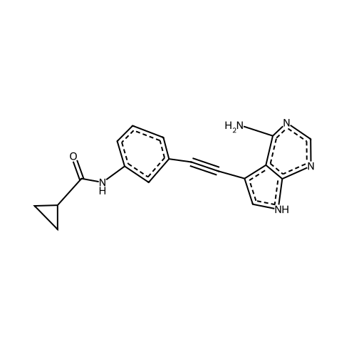 Nc1ncnc2[nH]cc(C#Cc3cccc(NC(=O)C4CC4)c3)c12